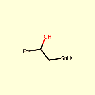 CCC(O)[CH2][SnH]